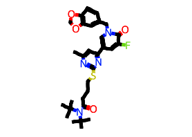 Cc1cc(-c2cc(F)c(=O)n(Cc3ccc4c(c3)OCO4)c2)nc(SCCCC(=O)N(C(C)(C)C)C(C)(C)C)n1